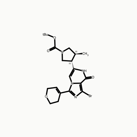 C[C@@H]1CN(C(=O)OC(C)(C)C)C[C@H]1c1cn2c(C3=CCOCC3)nc(Br)c2c(=O)[nH]1